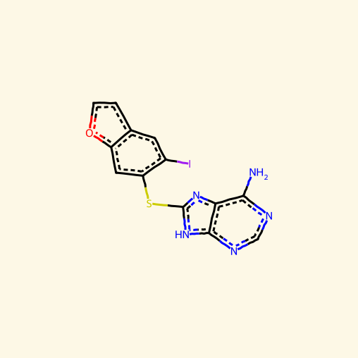 Nc1ncnc2[nH]c(Sc3cc4occc4cc3I)nc12